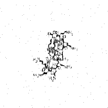 NCCC[C@H](NC(=O)[C@H](CCCN)NC(=O)[C@H](CCCN)NC(=O)[C@H](CCCN)NC(=O)[C@H](CCCN)NC(=O)[C@H](CCCN)NC(=O)[C@H](CCCN)NC(=O)[C@H](CCCN)NC(=O)[C@H](CCCN)NC(=O)[C@@H](N)CCCN)C(=O)O